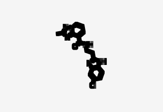 Cc1nc2c(C(=O)NCCc3nc4cc(Cl)ccc4[nH]3)cccn2n1